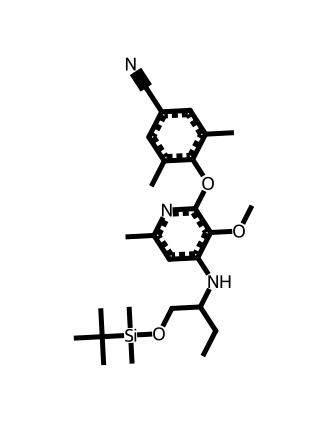 CCC(CO[Si](C)(C)C(C)(C)C)Nc1cc(C)nc(Oc2c(C)cc(C#N)cc2C)c1OC